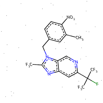 Cc1cc(Cn2c(C(F)(F)F)nc3cc(C(F)(C(F)(F)F)C(F)(F)F)ncc32)ccc1[N+](=O)[O-]